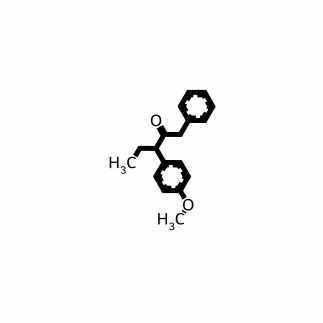 CCC(C(=O)Cc1ccccc1)c1ccc(OC)cc1